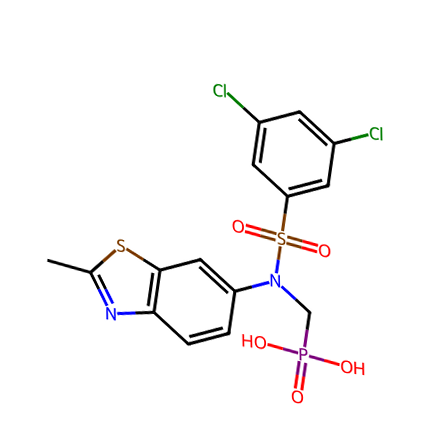 Cc1nc2ccc(N(CP(=O)(O)O)S(=O)(=O)c3cc(Cl)cc(Cl)c3)cc2s1